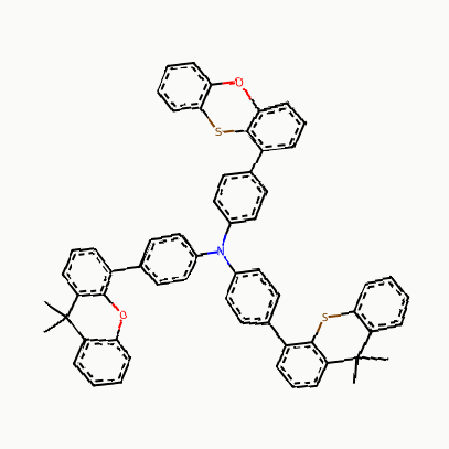 CC1(C)c2ccccc2Oc2c(-c3ccc(N(c4ccc(-c5cccc6c5Sc5ccccc5O6)cc4)c4ccc(-c5cccc6c5Sc5ccccc5C6(C)C)cc4)cc3)cccc21